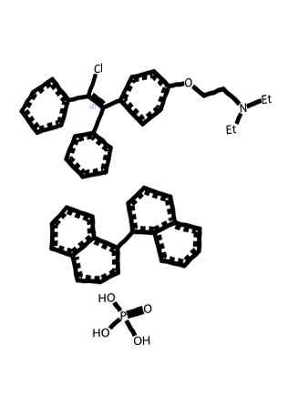 CCN(CC)CCOc1ccc(/C(=C(\Cl)c2ccccc2)c2ccccc2)cc1.O=P(O)(O)O.c1ccc2c(-c3cccc4ccccc34)cccc2c1